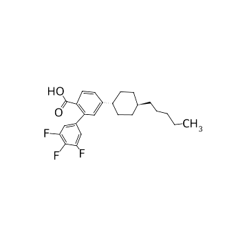 CCCCC[C@H]1CC[C@H](c2ccc(C(=O)O)c(-c3cc(F)c(F)c(F)c3)c2)CC1